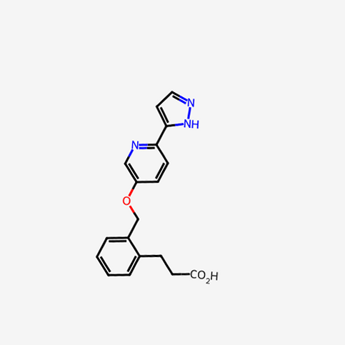 O=C(O)CCc1ccccc1COc1ccc(-c2ccn[nH]2)nc1